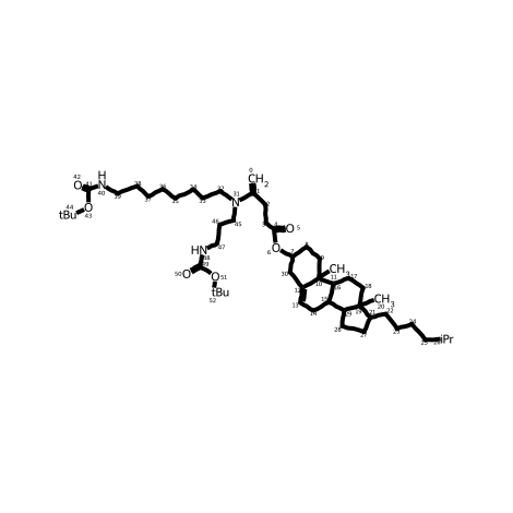 C=C(CCC(=O)OC1CCC2(C)C(=CCC3C2CCC2(C)C(CCCCC(C)C)CCC32)C1)N(CCCCCCCCNC(=O)OC(C)(C)C)CCCNC(=O)OC(C)(C)C